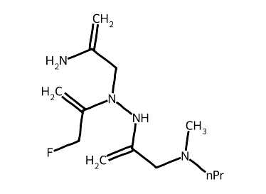 C=C(N)CN(NC(=C)CN(C)CCC)C(=C)CF